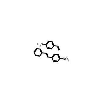 C=Cc1ccc([N+](=O)[O-])cc1.O=[N+]([O-])c1ccc(C=Cc2ccccc2)cc1